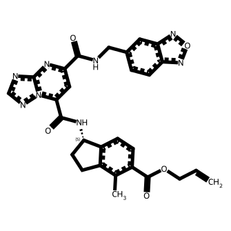 C=CCOC(=O)c1ccc2c(c1C)CC[C@@H]2NC(=O)c1cc(C(=O)NCc2ccc3nonc3c2)nc2ncnn12